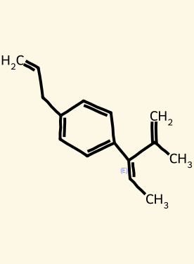 C=CCc1ccc(/C(=C/C)C(=C)C)cc1